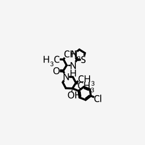 CC(C)[C@@H](NC1=NCCS1)C(=O)N1CC[C@](O)(c2ccc(Cl)cc2)C(C)(C)C1